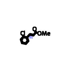 COC(=O)/C=C/c1ccccc1Cl